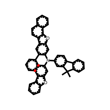 CC1(C)c2ccccc2-c2ccc(N(c3ccc4c(c3)oc3ccccc34)c3cc4oc5c6ccccc6ccc5c4cc3-c3ccccc3)cc21